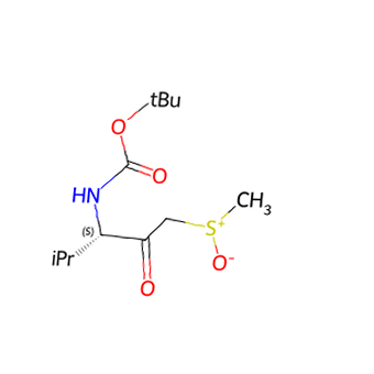 CC(C)[C@H](NC(=O)OC(C)(C)C)C(=O)C[S+](C)[O-]